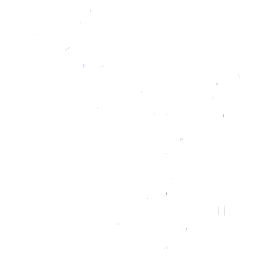 Cc1cc2cc(O)ccc2c(Oc2ccc(/C=C/C(=O)O)cc2)c1-c1ccccc1